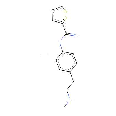 Br.Br.CC(C)NCCc1ccc(NC(=N)c2cccs2)cc1